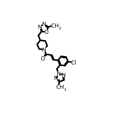 Cc1cnn(Cc2cc(Cl)ccc2C=CC(=O)N2CCC(Cc3nnc(C)o3)CC2)n1